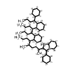 CCCC(C(C)CCC(C)C1NC2CCCCN2C1C1CCCCC1)C1CCCCC1C(CCC)C(CCC)C1CCCCC1C(CCC)C1CCCCC1